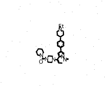 C=Nn1cc(-c2ccc(C3CCN(CC)CC3)cc2)cc1/C(=C\C)N1CCN(C(=O)N2CCCCC2)CC1